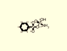 NP(=O)(O)OS(=O)(=O)c1ccccc1